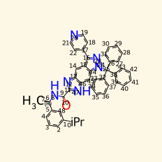 CC(C)c1cccc([C@@H](C)NC(=O)c2nc3cc4c(-c5ccncc5)nn(C(c5ccccc5)(c5ccccc5)c5ccccc5)c4cc3[nH]2)c1